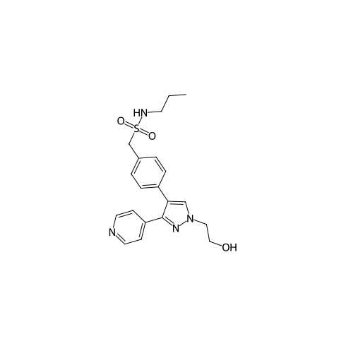 CCCNS(=O)(=O)Cc1ccc(-c2cn(CCO)nc2-c2ccncc2)cc1